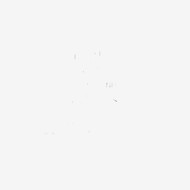 CCOC(=O)[C@H]1C[C@@H]([C@H](Cc2ccccc2)NC(=O)OC(C)(C)C)OC1=O